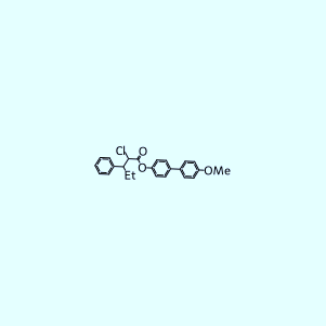 CCC(c1ccccc1)C(Cl)C(=O)Oc1ccc(-c2ccc(OC)cc2)cc1